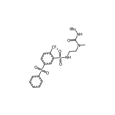 CN(CCNS(=O)(=O)c1cc(S(=O)(=O)c2ccccc2)ccc1C(F)(F)F)C(=O)NC(C)(C)C